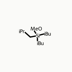 CCC(C)[Si](CC(C)C)(OC)C(C)CC